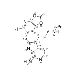 C=C1Oc2cc(I)c(Sc3nc4c(N)ncnc4n3CCCNC(C)C)cc2O1